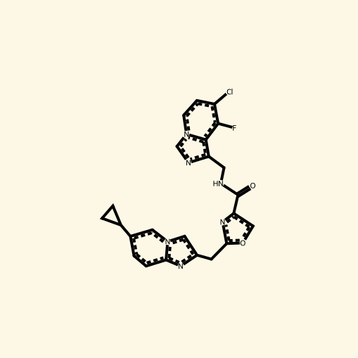 O=C(NCc1ncn2ccc(Cl)c(F)c12)c1coc(Cc2cn3cc(C4CC4)ccc3n2)n1